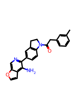 Cc1cccc(CC(=O)N2CCc3cc(-c4ncc5occc5c4N)ccc32)c1